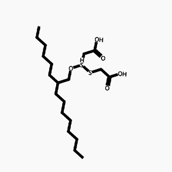 CCCCCCCCC(CCCCCC)CO[SH](CC(=O)O)SCC(=O)O